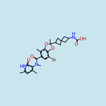 Cc1cc(C)c(N(C)C(=O)c2cc(Br)c3c(c2C)OC(C)(C2CC4(CC(NC(=O)O)C4)C2)O3)c(=O)[nH]1